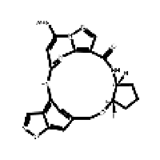 CNc1cc2nc3c(cnn13)C(=O)N[C@@H]1CCC[C@@H]1OCc1cc(c3cnoc3c1)N2